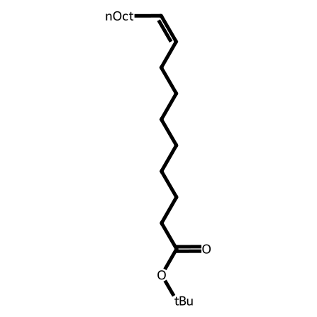 CCCCCCCC/C=C\CCCCCCCC(=O)OC(C)(C)C